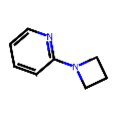 [c]1cccnc1N1CCC1